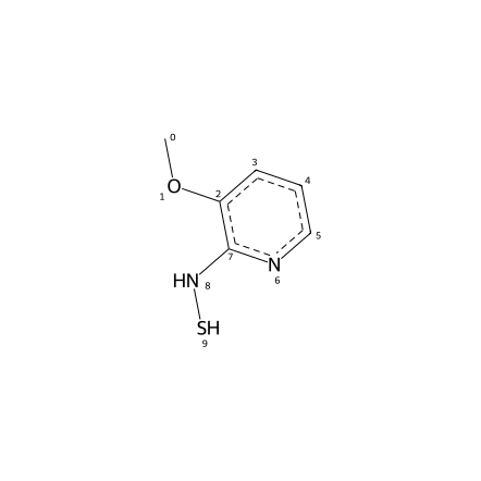 COc1cccnc1NS